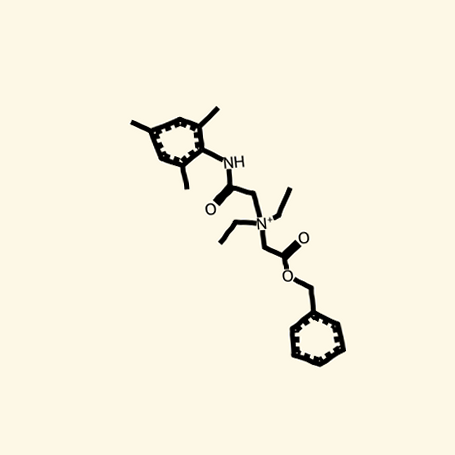 CC[N+](CC)(CC(=O)Nc1c(C)cc(C)cc1C)CC(=O)OCc1ccccc1